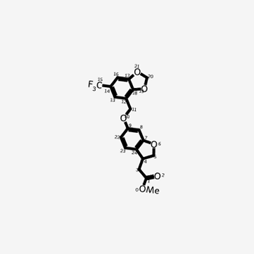 COC(=O)CC1COc2cc(OCc3cc(C(F)(F)F)cc4c3OCO4)ccc21